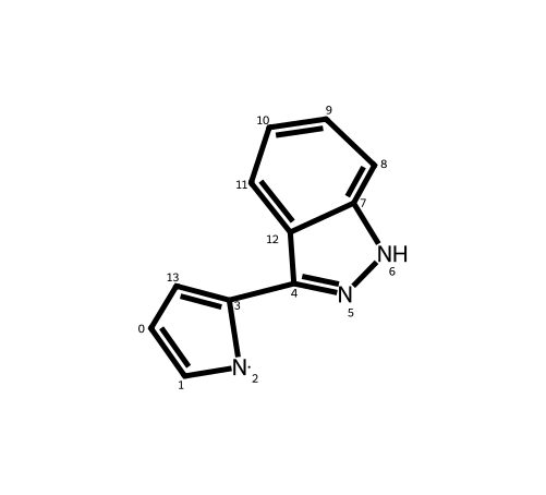 C1=C[N]C(c2n[nH]c3ccccc23)=C1